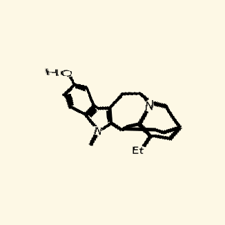 CCC1CC2CC3c4c(c5cc(O)ccc5n4C)CCN(C2)C13